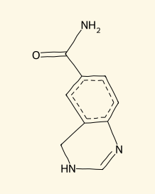 NC(=O)c1ccc2c(c1)CNC=N2